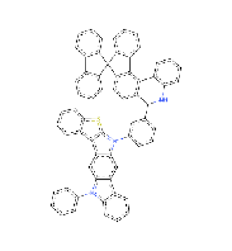 c1ccc(-n2c3ccccc3c3cc4c(cc32)c2c3ccccc3sc2n4-c2cccc(C3Nc4ccccc4-c4c3ccc3c4-c4ccccc4C34c3ccccc3-c3ccccc34)c2)cc1